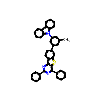 Cc1cc(-c2ccc3c(c2)sc2c(-c4ccccc4)nc(-c4ccccc4)nc23)cc(-n2c3ccccc3c3ccccc32)c1